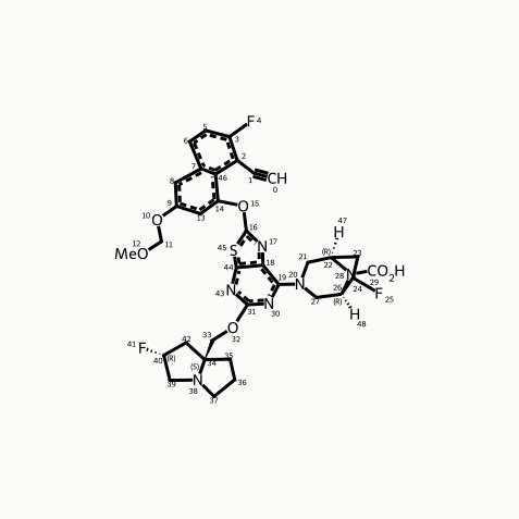 C#Cc1c(F)ccc2cc(OCOC)cc(Oc3nc4c(N5C[C@H]6CC(F)[C@@H](C5)N6C(=O)O)nc(OC[C@@]56CCCN5C[C@H](F)C6)nc4s3)c12